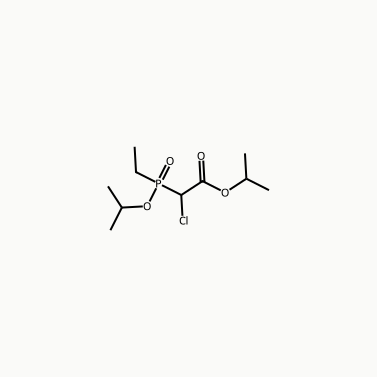 CCP(=O)(OC(C)C)C(Cl)C(=O)OC(C)C